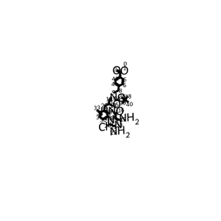 COC(=O)c1ccc(CCN(CC(CNC(=O)c2nc(Cl)c(N)nc2N)Cc2ccccc2C)C(=O)OC(C)(C)C)cc1